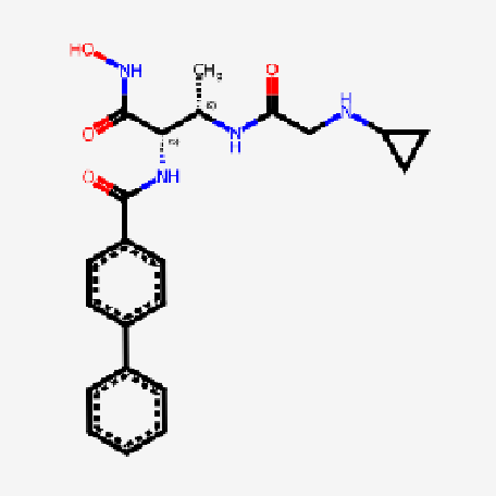 C[C@H](NC(=O)CNC1CC1)[C@H](NC(=O)c1ccc(-c2ccccc2)cc1)C(=O)NO